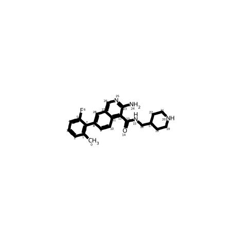 Cc1cccc(F)c1-c1ccc2c(C(=O)NCC3CCNCC3)c(N)ncc2c1